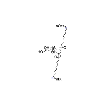 CCCC/C=C\CCCCCCCC(=O)O[C@H](COC(=O)CCCCCCC/C=C\CCCCCCCC)COP(=O)(O)OC[C@@H](O)CO